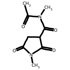 CC(=O)N(C)C(=O)C1CC(=O)N(C)C1=O